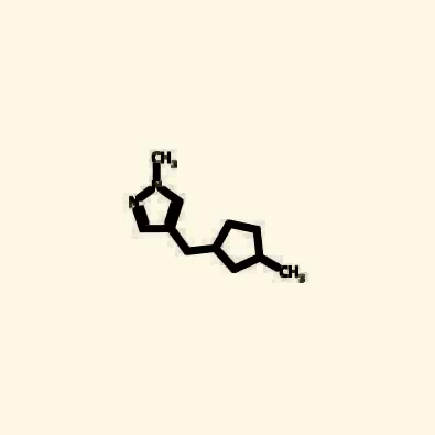 CC1CCC(Cc2cnn(C)c2)C1